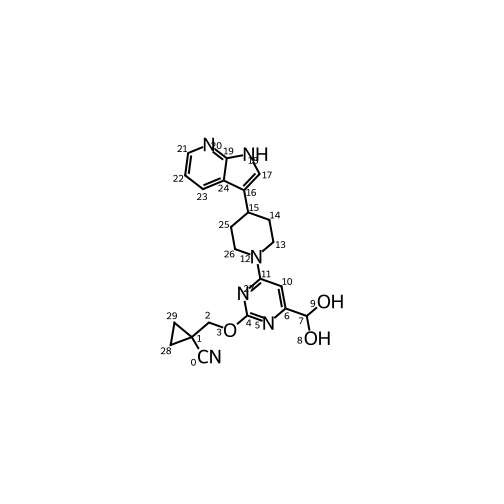 N#CC1(COc2nc(C(O)O)cc(N3CCC(c4c[nH]c5ncccc45)CC3)n2)CC1